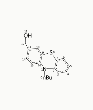 CCCCN1c2ccccc2Sc2cc(CO)ccc21